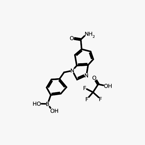 NC(=O)c1ccc2ncn(Cc3ccc(B(O)O)cc3)c2c1.O=C(O)C(F)(F)F